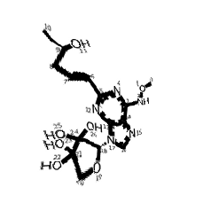 CONc1nc(C#CC[C@@H](C)O)nc2c1ncn2[C@@H]1OCC(O)(O)C1(O)O